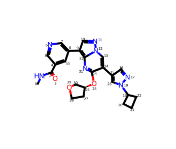 CNC(=O)c1cncc(-c2cnn3cc(-c4cnn(C5CCC5)c4)c(O[C@H]4CCOC4)nc23)c1